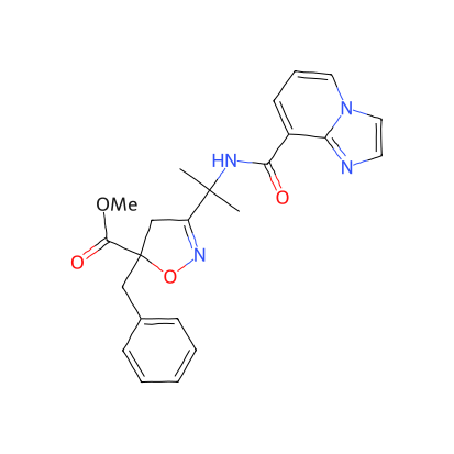 COC(=O)C1(Cc2ccccc2)CC(C(C)(C)NC(=O)c2cccn3ccnc23)=NO1